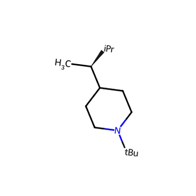 CC(C)[C@H](C)C1CCN(C(C)(C)C)CC1